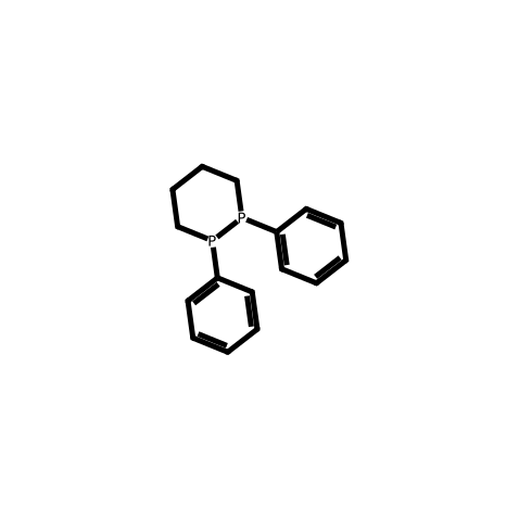 c1ccc(P2CCCCP2c2ccccc2)cc1